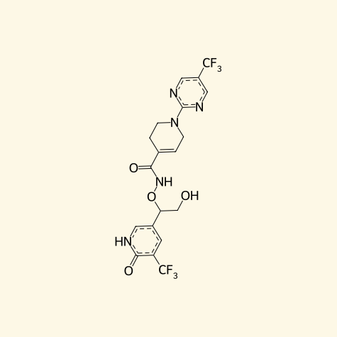 O=C(NOC(CO)c1c[nH]c(=O)c(C(F)(F)F)c1)C1=CCN(c2ncc(C(F)(F)F)cn2)CC1